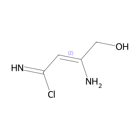 N=C(Cl)/C=C(\N)CO